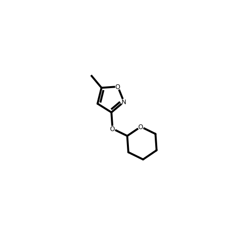 Cc1cc(OC2CCCCO2)no1